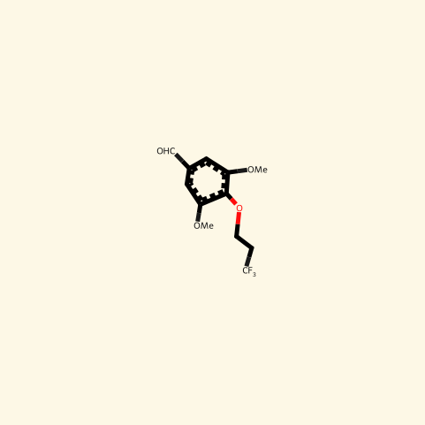 COc1cc(C=O)cc(OC)c1OCCC(F)(F)F